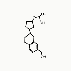 OCc1ccc2c(c1)CC(C1CCC(OC(O)O)C1)CC2